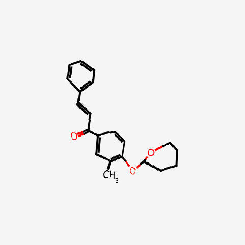 Cc1cc(C(=O)C=Cc2ccccc2)ccc1OC1CCCCO1